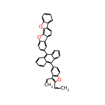 C=Cc1c(/C=C\C)oc2ccc(-c3c4ccccc4c(-c4ccc5oc6c(ccc7c8ccccc8oc76)c5c4)c4ccccc34)cc12